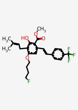 COC(=O)c1c(C=Cc2ccc(C(F)(F)F)cc2)cc(OCCCCF)c(CC=C(C)C)c1O